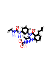 C=CCc1cccc2nc(C(C)NC(=O)O)n(-c3cccc(NC(=O)NCC)c3)c(=O)c12